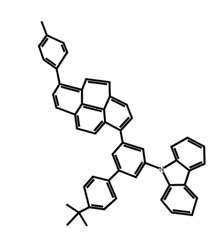 Cc1ccc(-c2ccc3ccc4c(-c5cc(-c6ccc(C(C)(C)C)cc6)cc(-n6c7ccccc7c7ccccc76)c5)ccc5ccc2c3c54)cc1